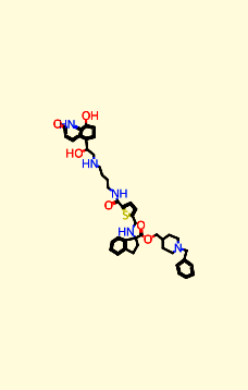 O=C(NCCCCNCC(O)c1ccc(O)c2[nH]c(=O)ccc12)c1ccc(CNC2(C(=O)OCC3CCN(Cc4ccccc4)CC3)CCc3ccccc32)s1